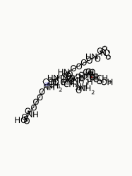 CC(C)[C@H](NC(=O)[C@@H](CCCCNC(=O)COC1CCCCC/C(NCCOCCOCCOCCOCCC(=O)NCCS(=O)(=O)O)=C\1N)NC(=O)CCOCCOCCOCCOCCNC(=O)CCC(=O)N1Cc2ccccc2C#Cc2ccccc21)C(=O)N[C@@H](CCCNC(N)=O)C(=O)Nc1ccc2c(c1)[C@@]1(C)CCC[C@](C)(C(=O)NC(=O)[C@@]3(C)CCC[C@]4(C)c5cc(O)ccc5CC[C@@H]34)C1CC2